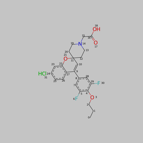 CCCOc1c(F)cc(C2=CC3(CCN(CC(=O)O)CC3)Oc3ccccc32)cc1F.Cl